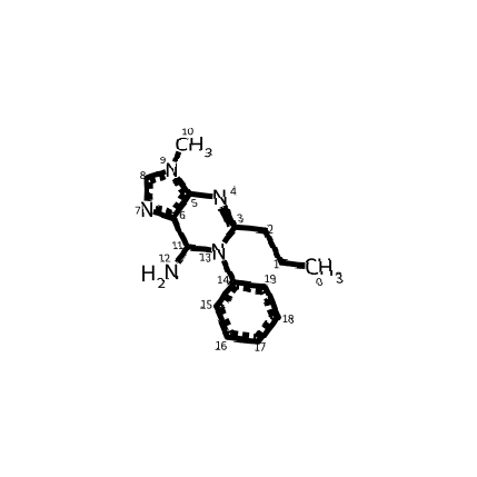 CCCC1=Nc2c(ncn2C)C(N)N1c1ccccc1